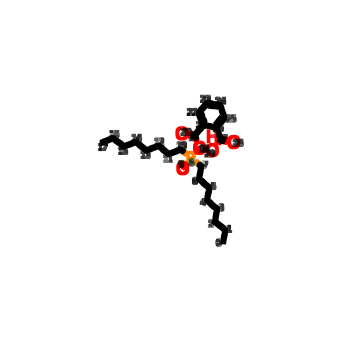 CCCCCCCCP(=O)(CCCCCCCC)OC(=O)c1ccccc1C(=O)O